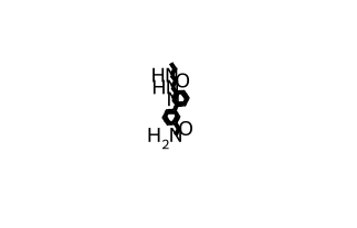 CCNC(=O)Nc1cccc(-c2cccc(C(N)=O)c2)n1